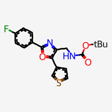 CC(C)(C)OC(=O)NCc1nc(-c2ccc(F)cc2)oc1-c1ccsc1